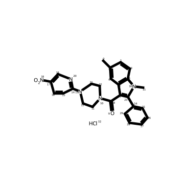 Cc1ccc2c(c1)c(C(=O)N1CCN(c3ccc([N+](=O)[O-])cn3)CC1)c(-c1ccccc1)n2C.Cl